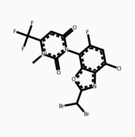 Cn1c(C(F)(F)F)cc(=O)n(-c2c(F)cc(Cl)c3nc(C(Br)Br)oc23)c1=O